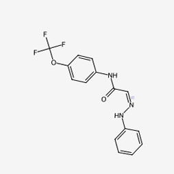 O=C(/C=N\Nc1ccccc1)Nc1ccc(OC(F)(F)F)cc1